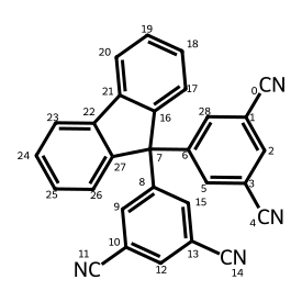 N#Cc1cc(C#N)cc(C2(c3cc(C#N)cc(C#N)c3)c3ccccc3-c3ccccc32)c1